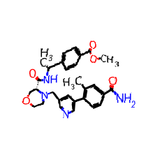 COC(=O)c1ccc([C@H](C)NC(=O)[C@H]2COCCN2Cc2cncc(-c3ccc(C(N)=O)cc3C)c2)cc1